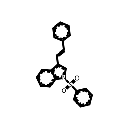 O=S(=O)(c1ccccc1)n1cc(/C=C/c2ccccc2)c2ccccc21